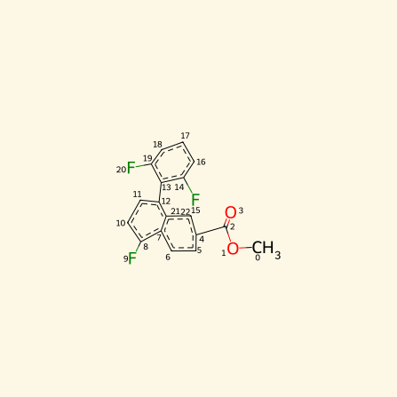 COC(=O)c1ccc2c(F)ccc(-c3c(F)cccc3F)c2c1